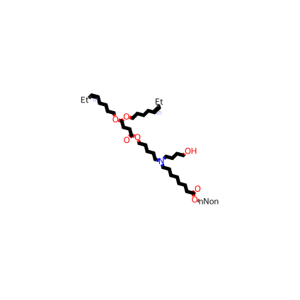 CC/C=C\CCCCOC(CCC(=O)OCCCCCN(CCCCO)CCCCCCCC(=O)OCCCCCCCCC)OCCCC/C=C\CC